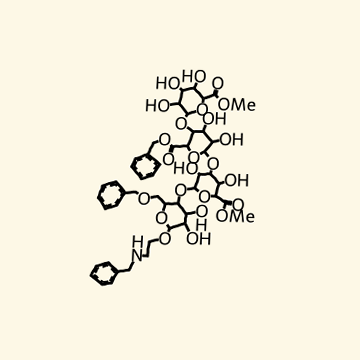 COC(=O)C1OC(OC2C(C(=O)OCc3ccccc3)OC(OC3C(O)C(OC4C(COCc5ccccc5)OC(OCCNCc5ccccc5)C(O)C4O)OC(C(=O)OC)C3O)C(O)C2O)C(O)C(O)C1O